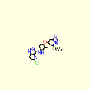 COc1cc(Oc2ccc(Nc3ncnc4ccc(Cl)nc34)cc2C)cc2ncnn12